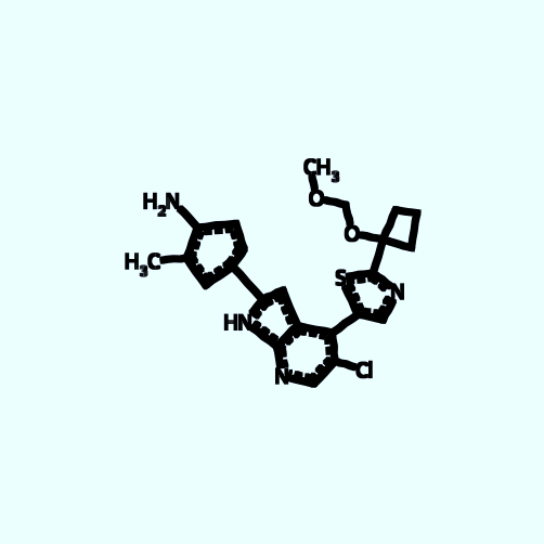 COCOC1(c2ncc(-c3c(Cl)cnc4[nH]c(-c5ccc(N)c(C)c5)cc34)s2)CCC1